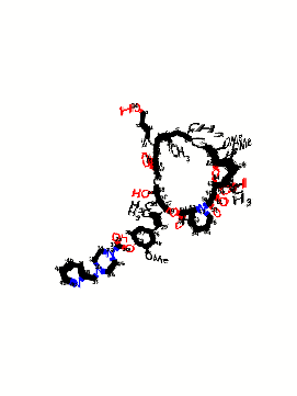 CO[C@H]1C[C@@H](C)C/C(C)=C/[C@@H](C/C=C/CO)C(=O)C[C@H](O)[C@@H](C)[C@@H](/C(C)=C/[C@@H]2CC[C@@H](OC(O)N3CCN(Cc4ccccn4)CC3)[C@H](OC)C2)OC(=O)[C@@H]2CCCCN2C(=O)C(=O)[C@]2(O)O[C@H]1[C@@H](OC)C[C@H]2C